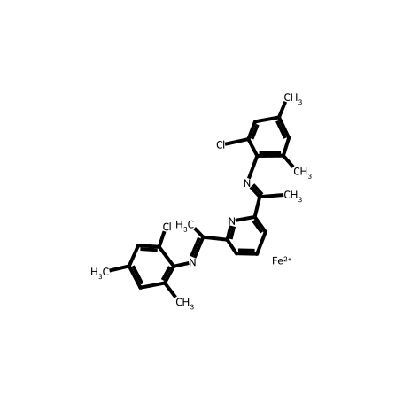 CC(=Nc1c(C)cc(C)cc1Cl)c1cccc(C(C)=Nc2c(C)cc(C)cc2Cl)n1.[Fe+2]